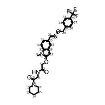 Cn1c(OCC(=O)NCC(=O)N2CCCCC2)cc2cc(C=NOCc3ccc(C(F)(F)F)cc3)ccc21